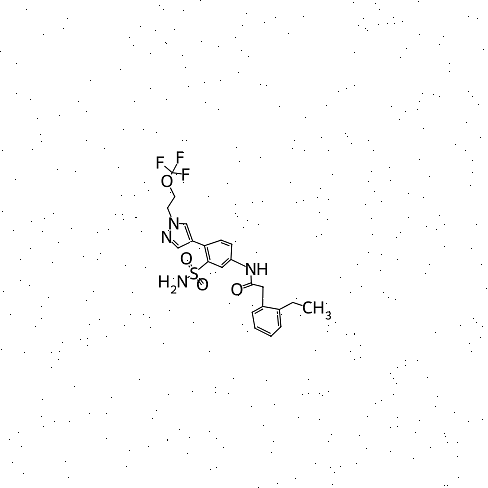 CCc1ccccc1CC(=O)Nc1ccc(-c2cnn(CCOC(F)(F)F)c2)c(S(N)(=O)=O)c1